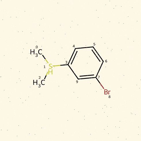 C[SH](C)c1cccc(Br)c1